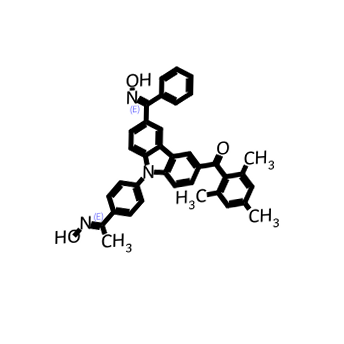 C/C(=N\O)c1ccc(-n2c3ccc(C(=O)c4c(C)cc(C)cc4C)cc3c3cc(/C(=N/O)c4ccccc4)ccc32)cc1